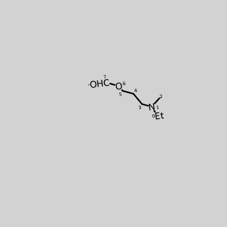 CCN(C)CCCO[C]=O